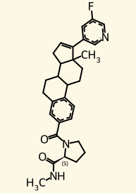 CNC(=O)[C@@H]1CCCN1C(=O)c1ccc2c(c1)CCC1C2CCC2(C)C(c3cncc(F)c3)=CCC12